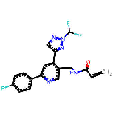 C=CC(=O)NCc1cnc(-c2ccc(F)cc2)cc1-c1cnn(C(F)F)n1